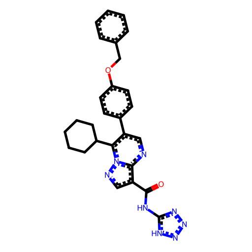 O=C(Nc1nnn[nH]1)c1cnn2c(C3CCCCC3)c(-c3ccc(OCc4ccccc4)cc3)cnc12